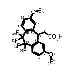 CCOc1ccc2c(c1)C(CC(=O)O)c1cc(OCC)ccc1C(F)(F)C2(F)F